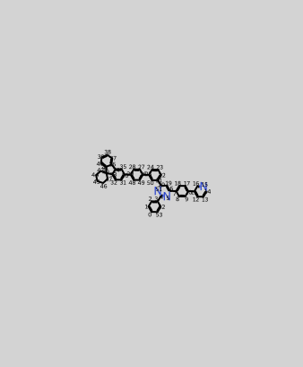 c1ccc(-c2nc(-c3ccc(-c4cccnc4)cc3)cc(-c3cccc(-c4ccc(-c5ccc6c(c5)-c5ccccc5C65CCCCC5)cc4)c3)n2)cc1